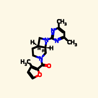 Cc1cc(C)nc(N2C[C@@H]3CCN(C(=O)c4occc4C)C[C@@H]32)n1